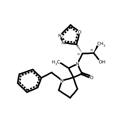 CC1N([C@H](c2nnco2)[C@@H](C)O)C(=O)C12CCCN2Cc1ccccc1